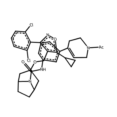 CC(=O)N1CC=C(c2cccc(NC(=O)N3C4CCC3CC(OCc3c(-c5c(Cl)cccc5Cl)noc3C3CC3)C4)c2)CC1